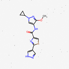 COc1nn(C2CC2)cc1NC(=O)c1csc(-c2cn[nH]c2)n1